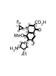 CC[C@H]1CN(c2c(F)cc3c(=O)c(C(=O)O)cn([C@@H]4C[C@@H]4F)c3c2OC)C[C@H]1N